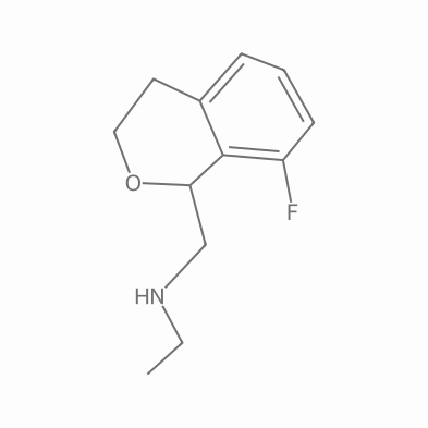 CCNCC1OCCc2cccc(F)c21